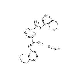 C/C(=N\c1cccc2c1CCCC2)c1cccc(/C(C)=N/c2cccc3c2CCCC3)n1.[Cl-].[Cl-].[Fe+2]